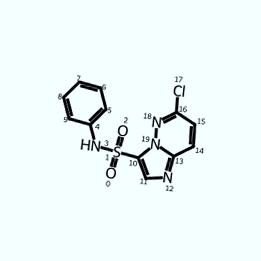 O=S(=O)(Nc1ccccc1)c1cnc2ccc(Cl)nn12